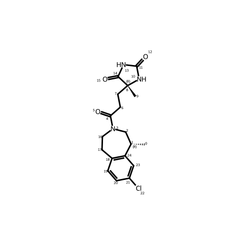 C[C@H]1CN(C(=O)CC[C@@]2(C)NC(=O)NC2=O)CCc2ccc(Cl)cc21